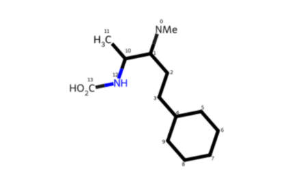 CNC(CCC1CCCCC1)C(C)NC(=O)O